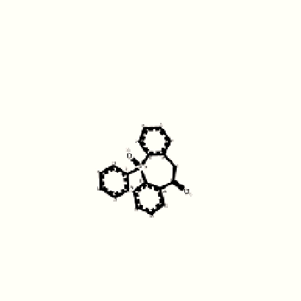 O=C1Cc2ccccc2P(=O)(c2ccccc2)c2ccccc21